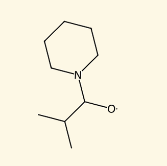 CC(C)C([O])N1CCCCC1